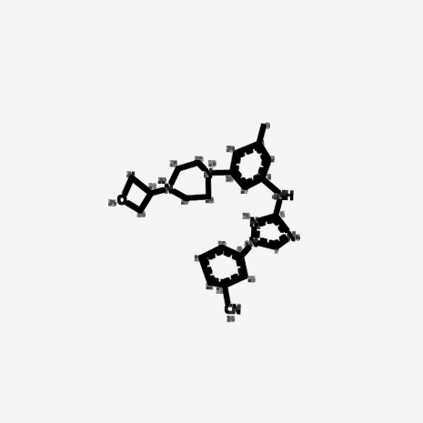 Cc1cc(Nc2ncn(-c3cccc(C#N)c3)n2)cc(N2CCN(C3COC3)CC2)c1